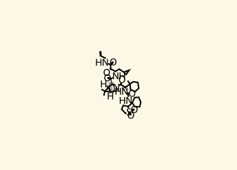 C=CCNC(=O)C(=O)C(CC1CC1)NC(=O)[C@@H]1[C@@H]2[C@H](CN1C(=O)[C@@H](NC(=O)NC1(C3CCCS3(=O)=O)CCCCC1)C1(C)CCCCC1)C2(C)C